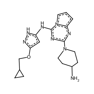 NC1CCN(c2nc(Nc3cc(OCC4CC4)n[nH]3)n3cccc3n2)CC1